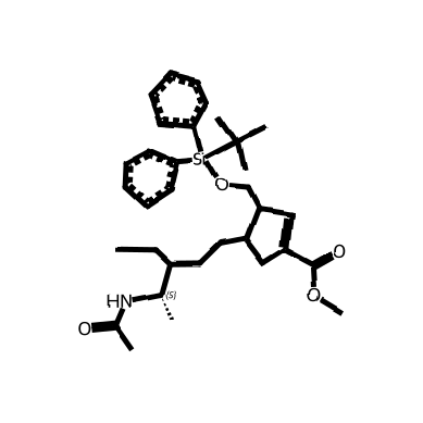 CCC(CCC1CC(C(=O)OC)=CC1CO[Si](c1ccccc1)(c1ccccc1)C(C)(C)C)[C@H](C)NC(C)=O